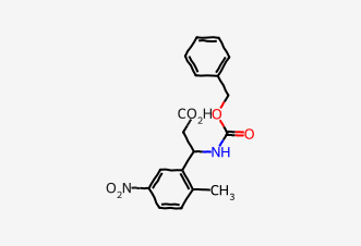 Cc1ccc([N+](=O)[O-])cc1C(CC(=O)O)NC(=O)OCc1ccccc1